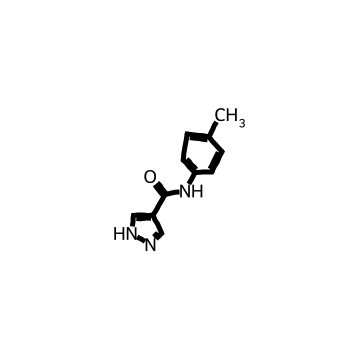 Cc1ccc(NC(=O)c2cn[nH]c2)cc1